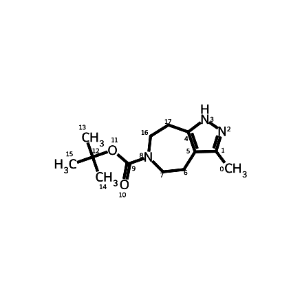 Cc1n[nH]c2c1CCN(C(=O)OC(C)(C)C)CC2